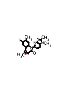 CC#CC(=O)N(c1ccc2c(n1)nc(C)n2C)c1cc(C)c(I)cc1C1CC1